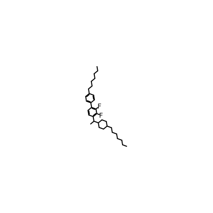 CCCCCCCc1ccc(-c2ccc(C(C)C3CCC(CCCCCCC)CC3)c(F)c2F)cc1